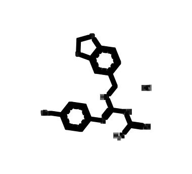 CC(C)(C)c1ccc(N=C(NCc2ccc3c(c2)OCO3)NC(=N)N)cc1.Cl